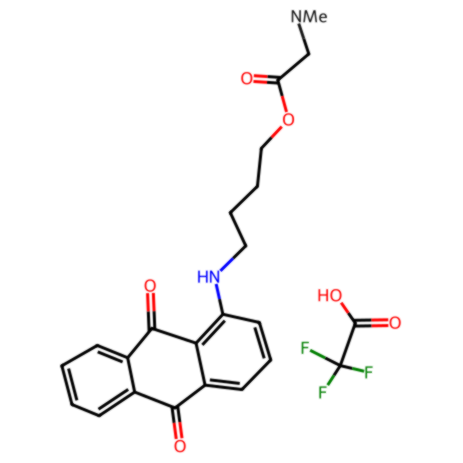 CNCC(=O)OCCCCNc1cccc2c1C(=O)c1ccccc1C2=O.O=C(O)C(F)(F)F